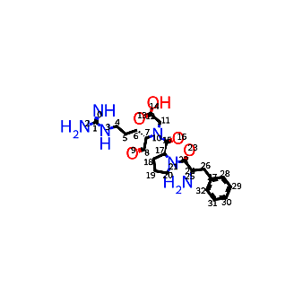 N=C(N)NCCC[C@@H](C=O)N(CC(=O)O)C(=O)[C@@H]1CCCN1C(=O)[C@H](N)Cc1ccccc1